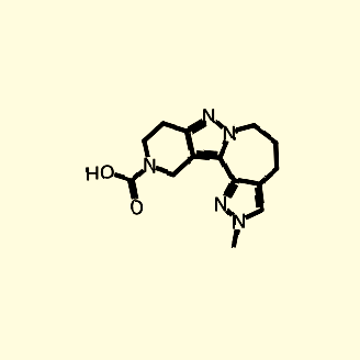 Cn1cc2c(n1)-c1c3c(nn1CCC2)CCN(C(=O)O)C3